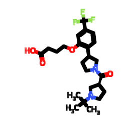 CC(C)(C)N1CC[C@H](C(=O)N2CCC(c3ccc(C(F)(F)F)cc3OCCCC(=O)O)C2)C1